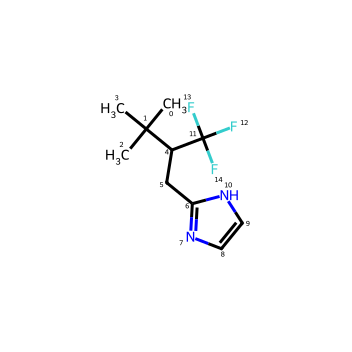 CC(C)(C)C(Cc1ncc[nH]1)C(F)(F)F